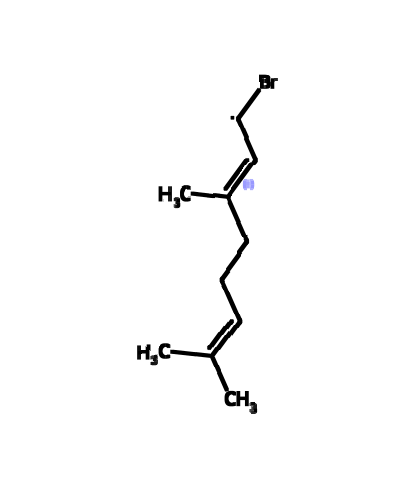 CC(C)=CCC/C(C)=C/[CH]Br